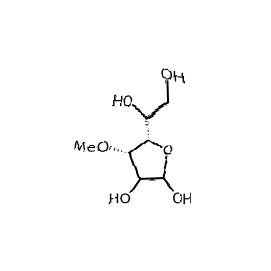 CO[C@H]1C(O)C(O)O[C@H]1C(O)CO